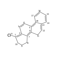 ClC1=c2ccc3c(c2CCC1)CC=c1ccccc1=3